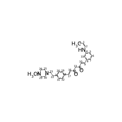 C/C=C\Nc1cccc(/C=C/C(=O)CC(=O)/C=C/c2ccc(CCN3CCN(C)CC3)cc2)c1